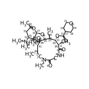 C[C@H]1CN(C)C(=O)CNC(=O)[C@H](C)[C@@H](OC(=O)C2CCOCC2)[C@H](C)[C@@H](O[C@@H]2O[C@H](C)C[C@H](N(C)C)[C@H]2O)[C@](C)(O)C1